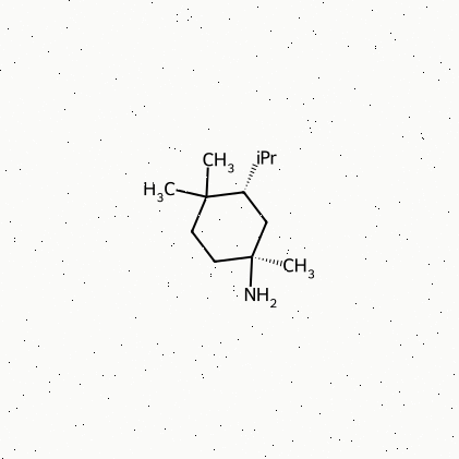 CC(C)[C@@H]1C[C@@](C)(N)CCC1(C)C